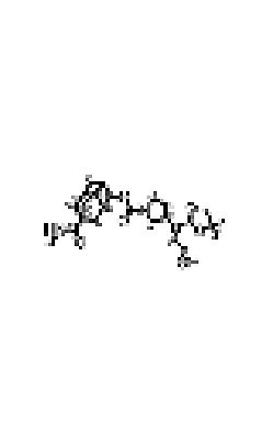 CC(C)(C)OC(=O)N(CCO)C1CCN(C(=O)OC2C3CC4CC2CC(C(=O)NI)(C4)C3)C1